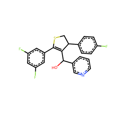 OC(C1=C(c2cc(F)cc(F)c2)SCC1c1ccc(F)cc1)c1cccnc1